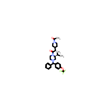 CC(=O)N1CCC(CC(=O)N2CCN(C(c3ccccc3)c3ccc(OC(F)(F)F)cc3)C[C@@H]2C(C)C)CC1